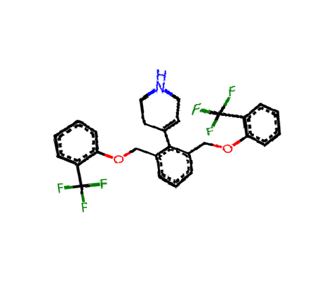 FC(F)(F)c1ccccc1OCc1cccc(COc2ccccc2C(F)(F)F)c1C1=CCNCC1